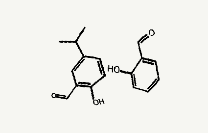 CC(C)c1ccc(O)c(C=O)c1.O=Cc1ccccc1O